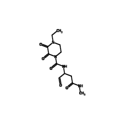 CCN1CCN(C(=O)NC(C=O)CC(=O)NC)C(=O)C1=O